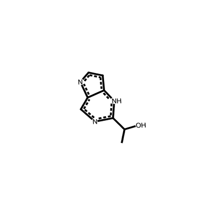 CC(O)c1ncc2nccc-2[nH]1